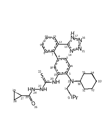 CC(C)CN(c1ccc(-c2ccccc2-c2nnn[nH]2)cc1NC(=S)NNC(=O)C1CC1)C1CCCCC1